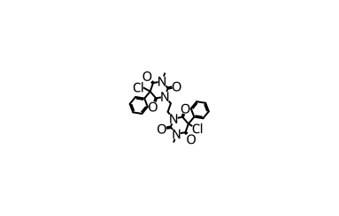 CN1C(=O)N(CCN2C(=O)N(C)C(=O)C(Cl)(c3ccccc3)C2=O)C(=O)C(Cl)(c2ccccc2)C1=O